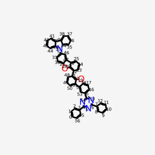 c1ccc(-c2nc(-c3ccccc3)nc(-c3ccc4oc5c(-c6cccc7c6oc6ccc(-n8c9ccccc9c9ccccc98)cc67)cccc5c4c3)n2)cc1